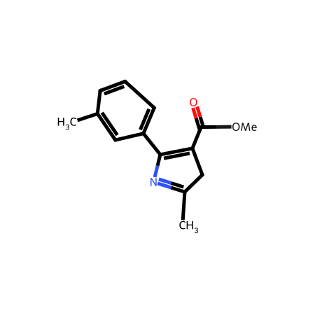 COC(=O)C1=C(c2cccc(C)c2)N=C(C)C1